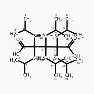 CC(C)[SiH2]C([SiH2]C(C)C)(C(=O)O)C([SiH2]C(C)C)([SiH2]C(C)C)C([SiH2]C(C)C)([SiH2]C(C)C)C(=O)O